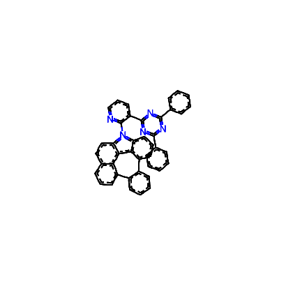 c1ccc(-c2nc(-c3ccccc3)nc(-c3cccnc3-n3c4cccc5c4c4c6c(cccc6ccc43)-c3ccccc3-5)n2)cc1